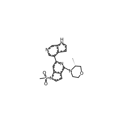 C[C@@H]1COCCN1c1nc(-c2cncc3[nH]ccc23)cc2c1ccn2S(C)(=O)=O